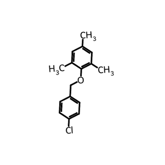 Cc1cc(C)c(OCc2ccc(Cl)cc2)c(C)c1